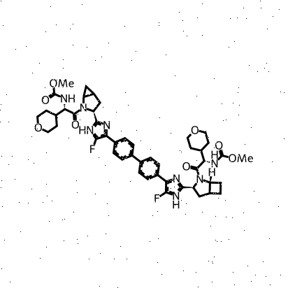 COC(=O)N[C@H](C(=O)N1C2CC2C[C@H]1c1nc(-c2ccc(-c3ccc(-c4nc([C@@H]5CC6CC[C@H]6N5C(=O)[C@@H](NC(=O)OC)C5CCOCC5)[nH]c4F)cc3)cc2)c(F)[nH]1)C1CCOCC1